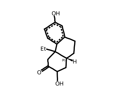 CCC12CC(=O)C(O)C[C@H]1CCc1cc(O)ccc12